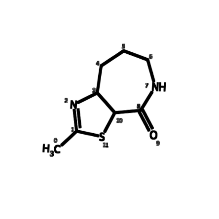 CC1=NC2CCCNC(=O)C2S1